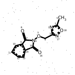 Cc1nc(CON2C(=O)c3ccccc3C2=O)no1